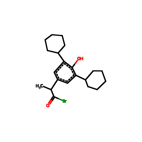 CC(C(=O)Br)c1cc(C2CCCCC2)c(O)c(C2CCCCC2)c1